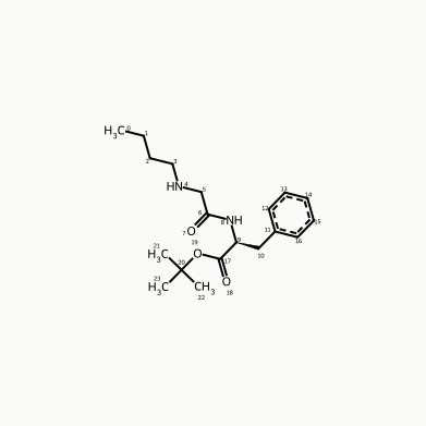 CCCCNCC(=O)N[C@@H](Cc1ccccc1)C(=O)OC(C)(C)C